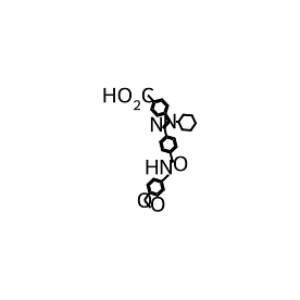 O=C(O)c1ccc2c(c1)nc(-c1ccc(C(=O)NCc3ccc4c(c3)OCO4)cc1)n2C1CCCCC1